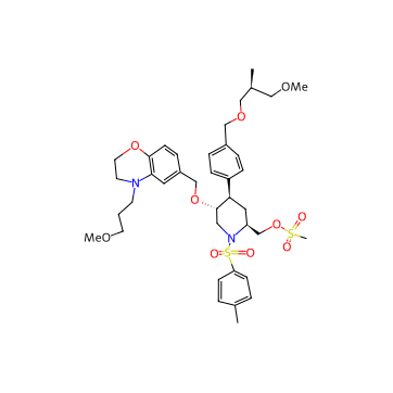 COCCCN1CCOc2ccc(CO[C@H]3CN(S(=O)(=O)c4ccc(C)cc4)[C@H](COS(C)(=O)=O)C[C@@H]3c3ccc(COC[C@@H](C)COC)cc3)cc21